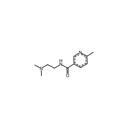 Cc1ccc(C(=O)NCCN(C)C)cn1